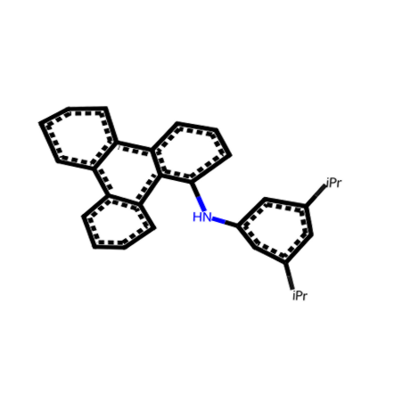 CC(C)c1cc(Nc2cccc3c4ccccc4c4ccccc4c23)cc(C(C)C)c1